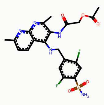 CC(=O)OCC(=O)Nc1c(C)nc2nc(C)ccc2c1NCc1cc(F)c(S(N)(=O)=O)cc1F